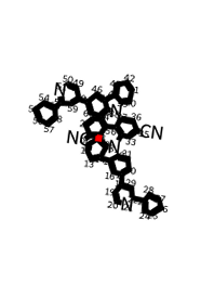 N#Cc1cccc(-c2c(-n3c4ccccc4c4cc(-c5ccnc(-c6ccccc6)c5)ccc43)cc(C#N)cc2-n2c3ccccc3c3cc(-c4ccnc(-c5ccccc5)c4)ccc32)c1